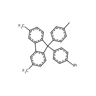 Cc1ccc(C2(c3ccc(C(C)C)cc3)c3ccc(C(F)(F)F)cc3-c3cc(C(F)(F)F)ccc32)cc1